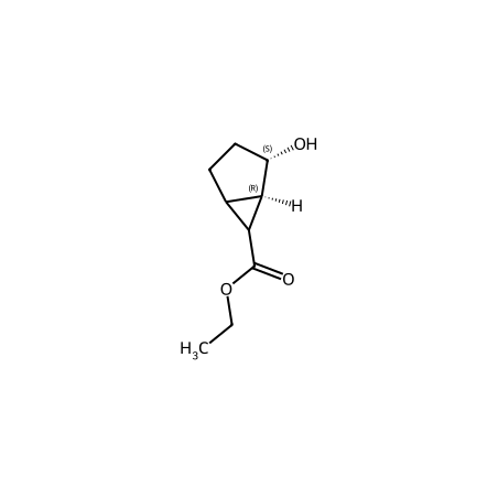 CCOC(=O)C1C2CC[C@H](O)[C@H]21